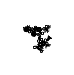 O=C(CCNC(=O)c1cccc(S(=O)(=O)NC(C(=O)O[C@H]2CN3CCC2CC3)c2ccccc2)c1)O[C@@H](Cc1c(Cl)c[n+]([O-])cc1Cl)c1ccc(OC(F)F)c(OCC2CC2)c1.O=C(O)C(F)(F)F